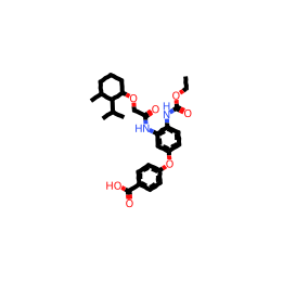 CCOC(=O)Nc1ccc(Oc2ccc(C(=O)O)cc2)cc1NC(=O)COC1CCCC(C)C1C(C)C